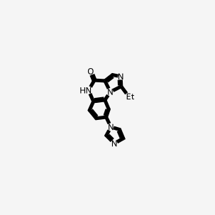 CCc1ncc2c(=O)[nH]c3ccc(-n4ccnc4)cc3n12